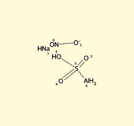 O=[NH+][O-].O=[S](=O)(O)[AlH2].[NaH]